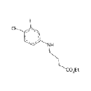 CCOC(=O)CCCNc1ccc(Cl)c(C)c1